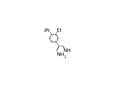 CCc1cc(/C(C=N)=C/N)ccc1C(C)C